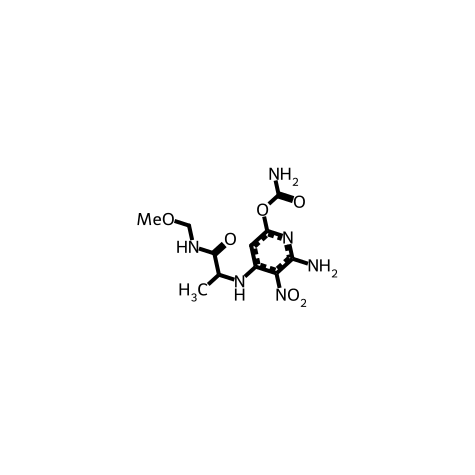 COCNC(=O)C(C)Nc1cc(OC(N)=O)nc(N)c1[N+](=O)[O-]